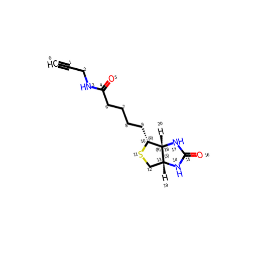 C#CCNC(=O)CCCC[C@H]1SC[C@H]2NC(=O)N[C@H]21